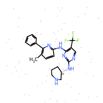 Cc1ccc(Nc2nc(N[C@H]3CCCNC3)ncc2C(F)(F)F)nc1-c1ccccc1